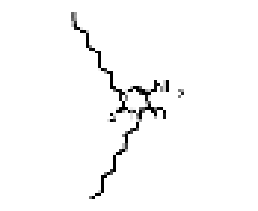 CCCCCCCCn1cc(N)c(=O)n(CCCCCCCC)c1=S